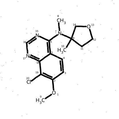 COc1ccc2c(N(C)C3(C)CCOC3)ncnc2c1Cl